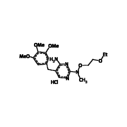 CCOCCON(C)c1ncc(Cc2cc(OC)c(OC)c(OC)c2)c(N)n1.Cl